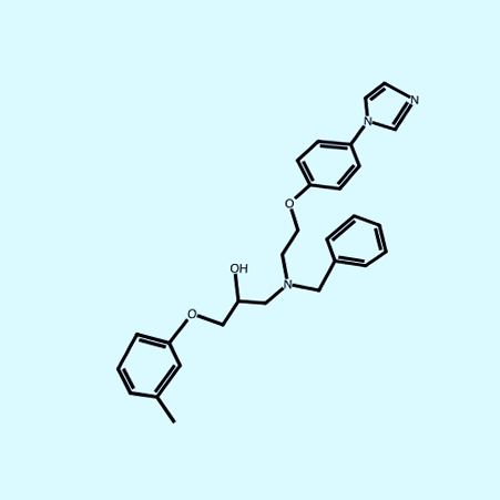 Cc1cccc(OCC(O)CN(CCOc2ccc(-n3ccnc3)cc2)Cc2ccccc2)c1